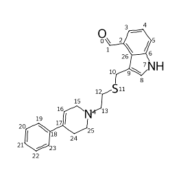 O=Cc1cccc2[nH]cc(CSCCN3CC=C(c4ccccc4)CC3)c12